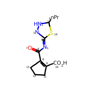 CCCC1N[N]C(=NC(=O)C2=C(C(=O)O)CCC2)S1